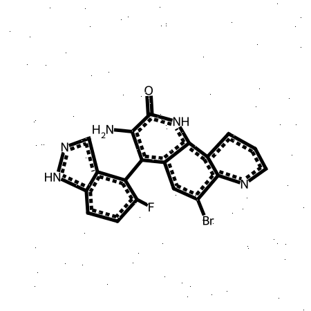 Nc1c(-c2c(F)ccc3[nH]ncc23)c2cc(Br)c3ncccc3c2[nH]c1=O